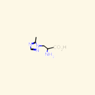 Cc1ncnn1CC(N)C(=O)O